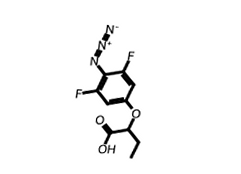 CCC(Oc1cc(F)c(N=[N+]=[N-])c(F)c1)C(=O)O